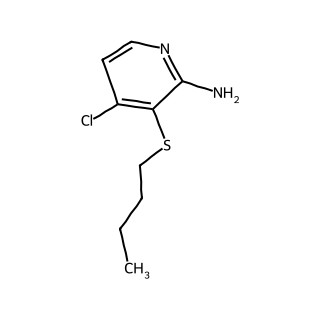 CCCCSc1c(Cl)ccnc1N